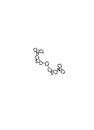 C1=CC(c2cccc(-c3ccc4sc5ccc(-n6c7ccccc7c7ccccc76)cc5c4c3)c2)Cc2c1sc1ccc(-n3c4ccccc4c4ccccc43)cc21